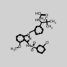 COc1cccc2c1c(NS(=O)(=O)c1cccc(Cl)c1)nn2Cc1cccc(C(NC(=O)O)C(C)(C)C)c1